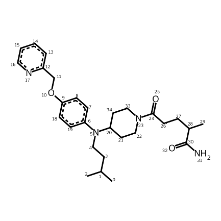 CC(C)CCN(c1ccc(OCc2ccccn2)cc1)C1CCN(C(=O)[CH]CC(C)C(N)=O)CC1